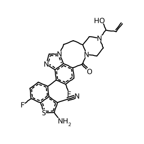 C=CC(O)N1CCN2C(=O)c3cc(F)c(-c4ccc(F)c5sc(N)c(C#N)c45)c4ncn(c34)CCC2C1